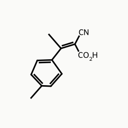 C/C(=C(\C#N)C(=O)O)c1ccc(C)cc1